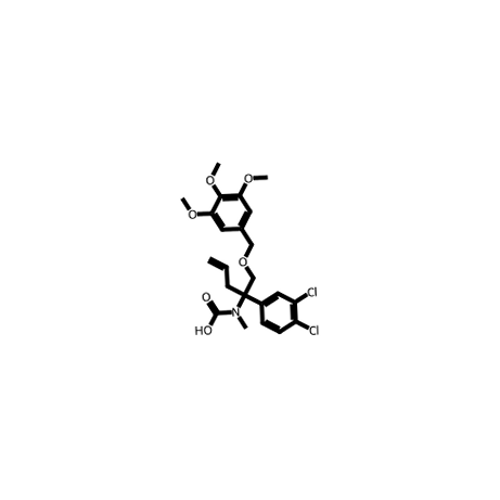 C=CCC(COCc1cc(OC)c(OC)c(OC)c1)(c1ccc(Cl)c(Cl)c1)N(C)C(=O)O